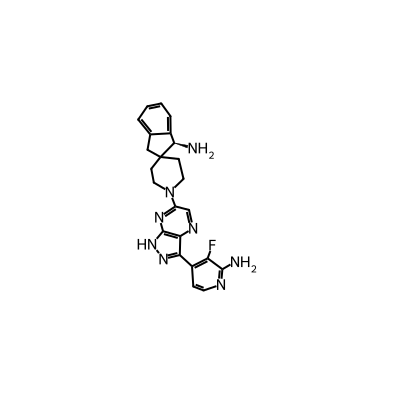 Nc1nccc(-c2n[nH]c3nc(N4CCC5(CC4)Cc4ccccc4[C@H]5N)cnc23)c1F